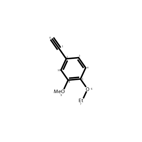 C#Cc1ccc(OCC)c(OC)c1